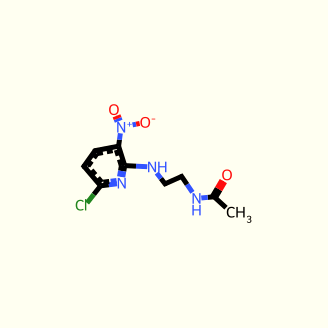 CC(=O)NCCNc1nc(Cl)ccc1[N+](=O)[O-]